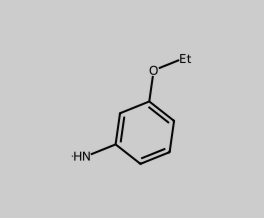 CCOc1cccc([NH])c1